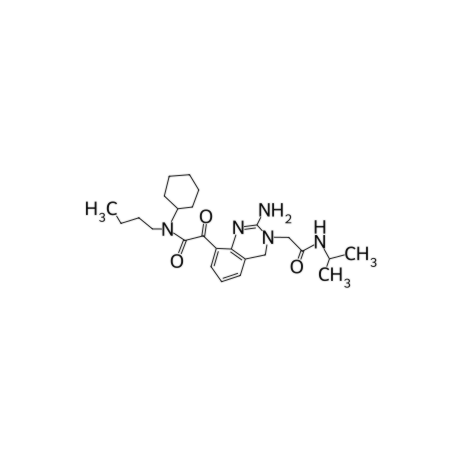 CCCCN(C(=O)C(=O)c1cccc2c1N=C(N)N(CC(=O)NC(C)C)C2)C1CCCCC1